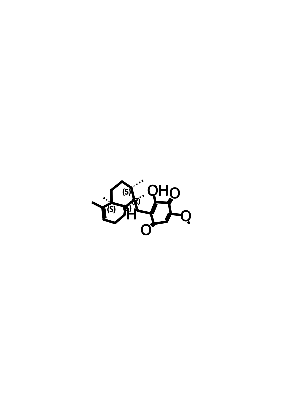 COC1=CC(=O)C(C[C@]2(C)[C@@H](C)CC[C@]3(C)C(C)=CCC[C@@H]23)=C(O)C1=O